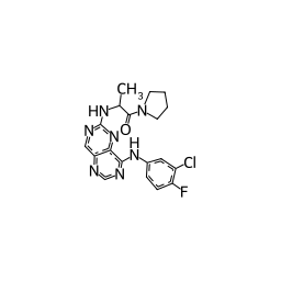 CC(Nc1ncc2ncnc(Nc3ccc(F)c(Cl)c3)c2n1)C(=O)N1CCCC1